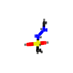 CC(=O)NNS(C)(=O)=O